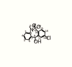 CN1c2ccccc2C(O)c2cc(Cl)ccc2S1(=O)=O